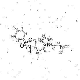 Cc1ccc(S(=O)(=O)Nc2ccc3c(ccn3CCN(C)C)c2)cc1